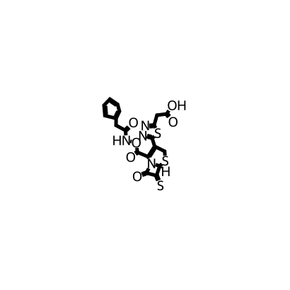 O=C(O)Cc1nnc(C2=C(C(=O)ONC(=O)Cc3ccccc3)N3C(=O)C(=S)[C@@H]3SC2)s1